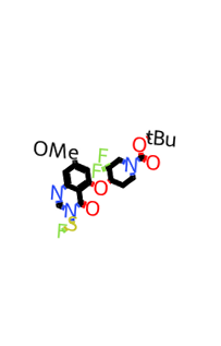 COc1cc(OC2CCN(C(=O)OC(C)(C)C)CC2(F)F)c2c(=O)n(SF)cnc2c1